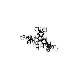 CN(CC(c1ccc(Cl)c(Cl)c1)C(O)c1cccc(NS(=O)(=O)C(F)(F)F)c1)C(=O)OC(C)(C)C